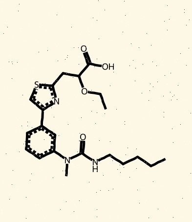 CCCCCNC(=O)N(C)c1cccc(-c2csc(CC(OCC)C(=O)O)n2)c1